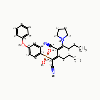 CCCC(/C(C#N)=C(\CCC)N1CCCC1)=C(\C#N)S(=O)(=O)c1ccc(Oc2ccccc2)cc1